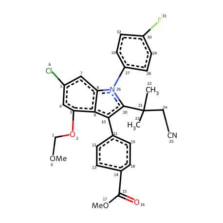 COCOc1cc(Cl)cc2c1c(-c1ccc(C(=O)OC)cc1)c(C(C)(C)CC#N)n2-c1ccc(F)cc1